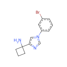 NC1(c2cn(-c3cccc(Br)c3)cn2)CCC1